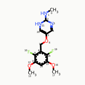 CNC1N=CC(OCc2c(F)c(OC)cc(OC)c2F)=CN1